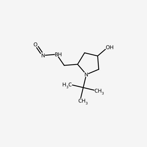 CC(C)(C)N1CC(O)CC1CBN=O